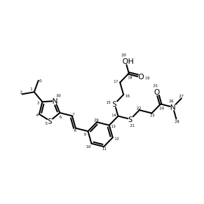 CC(C)c1csc(/C=C/c2cccc(C(SCCC(=O)O)SCCC(=O)N(C)C)c2)n1